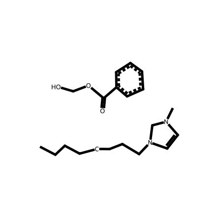 CCCCCCCCN1C=CN(C)C1.O=C(OCO)c1ccccc1